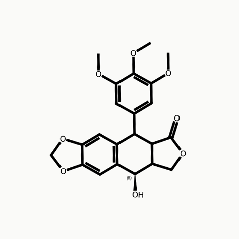 COc1cc(C2c3cc4c(cc3[C@H](O)C3COC(=O)C23)OCO4)cc(OC)c1OC